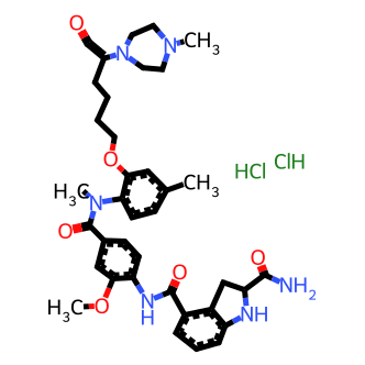 COc1cc(C(=O)N(C)c2ccc(C)cc2OCCCCC(=C=O)N2CCN(C)CC2)ccc1NC(=O)c1cccc2c1CC(C(N)=O)N2.Cl.Cl